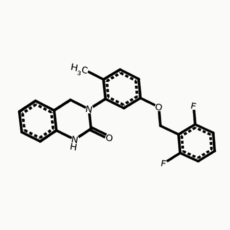 Cc1ccc(OCc2c(F)cccc2F)cc1N1Cc2ccccc2NC1=O